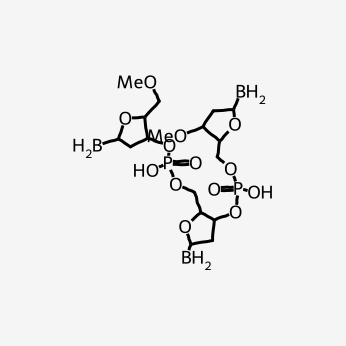 BC1CC(OC)C(COP(=O)(O)OC2CC(B)OC2COP(=O)(O)OC2CC(B)OC2COC)O1